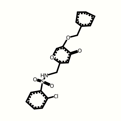 O=c1cc(CNS(=O)(=O)c2ccccc2Cl)occ1OCc1ccccc1